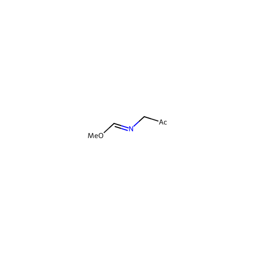 COC=NCC(C)=O